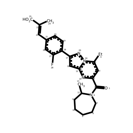 CCc1cc(C(=O)N2CCCCCC2C)nc2cc(-c3ccc(/C=C(\C)C(=O)O)cc3F)nn12